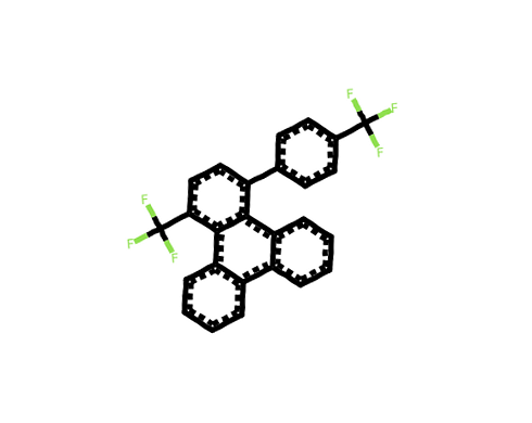 FC(F)(F)c1ccc(-c2ccc(C(F)(F)F)c3c4ccccc4c4ccccc4c23)cc1